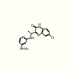 CC(=O)Nc1ccnc(N[C@@H](C)c2nc3cc(Cl)ccc3[nH]c2=O)c1